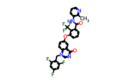 Cc1ncccc1NC(=O)c1cccc(Oc2ccc3c(c2)c(=O)ncn3Cc2c(F)cc(F)cc2F)c1C(F)(F)F